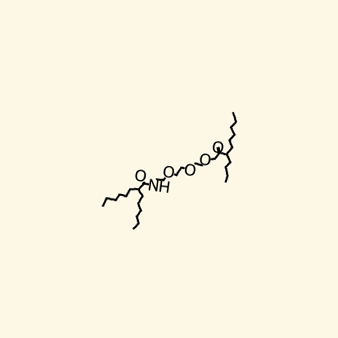 CCCCCCC(CCCC)C(=O)COCCOCCOCCNC(=O)C(CCCCCC)CCCCCC